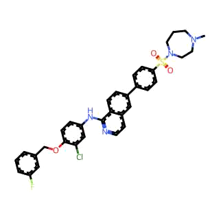 CN1CCCN(S(=O)(=O)c2ccc(-c3ccc4c(Nc5ccc(OCc6cccc(F)c6)c(Cl)c5)nccc4c3)cc2)CC1